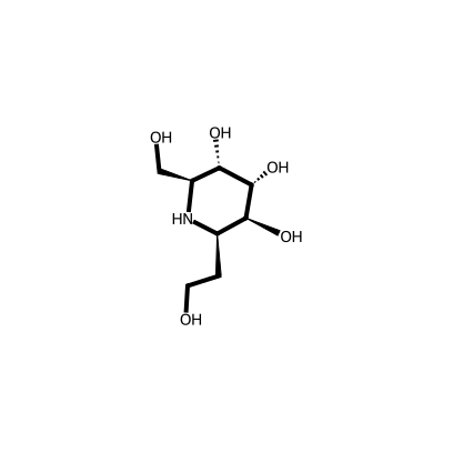 OCC[C@H]1N[C@@H](CO)[C@H](O)[C@H](O)[C@H]1O